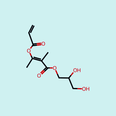 C=CC(=O)OC(C)=C(C)C(=O)OCC(O)CO